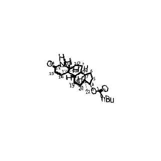 CCCCC(=O)O[C@H]1CC[C@H]2[C@@H]3CC[C@H]4NC(=O)C=C[C@@H]4[C@H]3CC[C@]12C